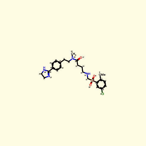 COc1ccc(Cl)cc1S(=O)(=O)CNCCCC(=O)N(C)CCc1ccc(C2=NCCN2)cc1